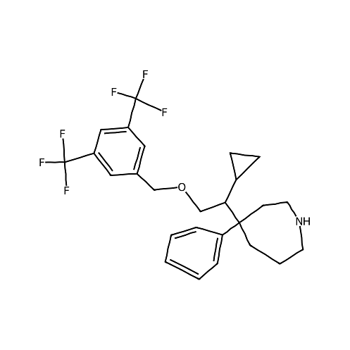 FC(F)(F)c1cc(COCC(C2CC2)C2(c3ccccc3)CCCNCC2)cc(C(F)(F)F)c1